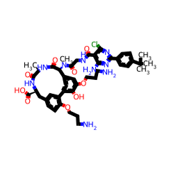 C[C@@H]1NC(=O)[C@@H](N(C)C(=O)CNC(=O)c2c(N)nc(-c3ccc(C(C)(C)C)cc3)nc2Cl)c2cc(OCCCN)c(O)c(c2)-c2cc(ccc2OCCCN)C[C@@H](C(=O)O)NC1=O